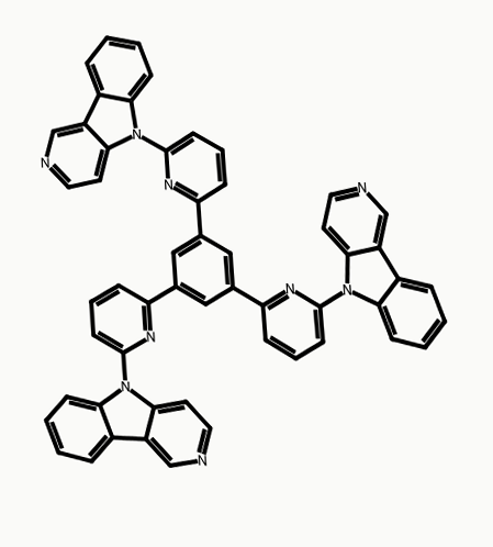 c1cc(-c2cc(-c3cccc(-n4c5ccccc5c5cnccc54)n3)cc(-c3cccc(-n4c5ccccc5c5cnccc54)n3)c2)nc(-n2c3ccccc3c3cnccc32)c1